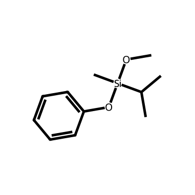 CO[Si](C)(Oc1ccccc1)C(C)C